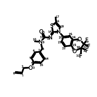 C=CCOc1ccc(CN(C)C(=O)N=c2sc(C)cn2-c2ccc3c(c2)OC(F)(F)C(F)(F)O3)cc1